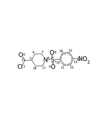 O=C(Cl)C1CCN(S(=O)(=O)c2ccc([N+](=O)[O-])cc2)CC1